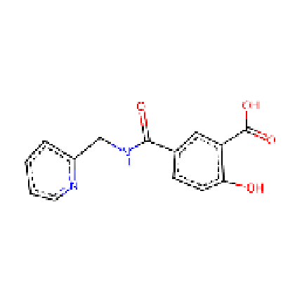 O=C(NCc1ccccn1)c1ccc(O)c(C(=O)O)c1